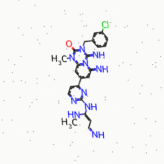 CN/C(=C\C=N)Nc1nccc(-c2cc(=N)n3c(=N)n(Cc4cccc(Cl)c4)c(=O)n(C)c3c2)n1